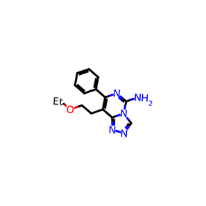 CCOCCc1c(-c2ccccc2)nc(N)n2cnnc12